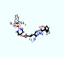 CC(C)(C)OC(=O)N1CCC(OC2CC(C#Cc3cn4cc(-c5ccccc5O)nc4nc3N)C2)CC1